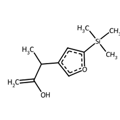 C=C(O)C(C)c1coc([Si](C)(C)C)c1